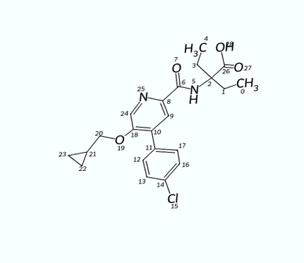 CCC(CC)(NC(=O)c1cc(-c2ccc(Cl)cc2)c(OCC2CC2)cn1)C(=O)O